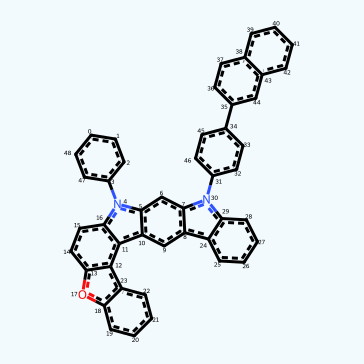 c1ccc(-n2c3cc4c(cc3c3c5c(ccc32)oc2ccccc25)c2ccccc2n4-c2ccc(-c3ccc4ccccc4c3)cc2)cc1